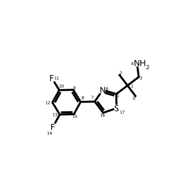 CC(C)(CN)c1nc(-c2cc(F)cc(F)c2)cs1